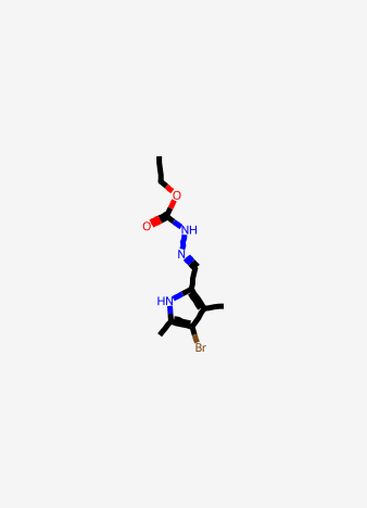 CCOC(=O)N/N=C/c1[nH]c(C)c(Br)c1C